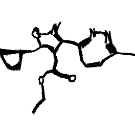 CCOC(=O)c1c(-c2ccc(C)nn2)noc1C1CC1